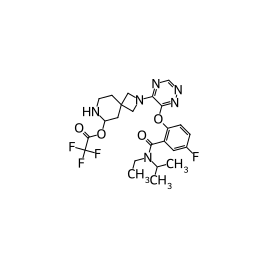 CCN(C(=O)c1cc(F)ccc1Oc1nncnc1N1CC2(CCNC(OC(=O)C(F)(F)F)C2)C1)C(C)C